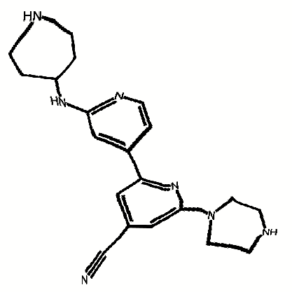 N#Cc1cc(-c2ccnc(NC3CCNCC3)c2)nc(N2CCNCC2)c1